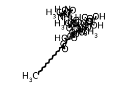 CCCCCCCCCCCCCCCC(=O)OCC(O)COP(=O)(O)OCC(=O)N(CC(C)O[C@@H]1[C@@H](N)[C@@H](O)O[C@H](CO)[C@H]1O)C(=O)[C@H](C)N(C(C)=O)C(=O)CC[C@@H](NC(=O)[C@H](C)N)C(N)=O